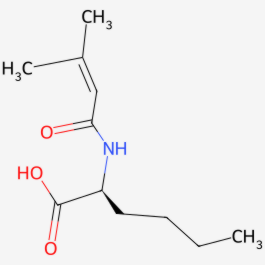 CCCC[C@H](NC(=O)C=C(C)C)C(=O)O